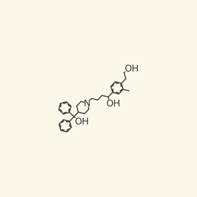 Cc1cc(C(O)CCCN2CCC(C(O)(c3ccccc3)c3ccccc3)CC2)ccc1CCO